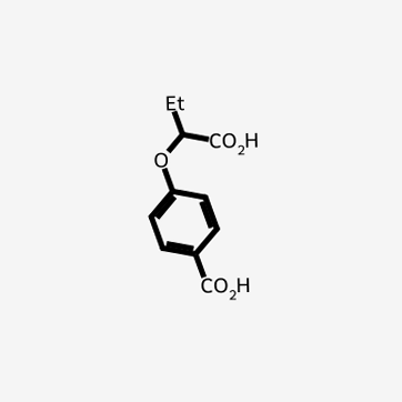 CCC(Oc1ccc(C(=O)O)cc1)C(=O)O